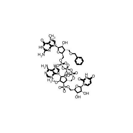 CO[C@@H]1[C@H](P(=O)([O-])OC[C@H]2O[C@@H](n3ccc(=O)[nH]c3=O)[C@H](O)[C@@H]2O)[C@@H](COP(=O)(O)OP(=O)(O)OP(=O)(O)OC[C@H]2O[C@@H](n3c[n+](C)c4c(=O)[nH]c(N)nc43)[C@H](O)[C@@H]2COCc2ccccc2)O[C@H]1n1cnc2c(N)ncnc21